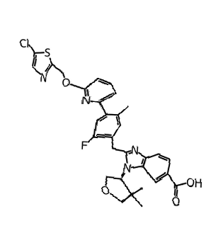 Cc1cc(Cc2nc3ccc(C(=O)O)cc3n2[C@@H]2COCC2(C)C)c(F)cc1-c1cccc(OCc2ncc(Cl)s2)n1